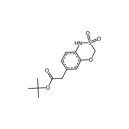 CC(C)(C)OC(=O)Cc1ccc2c(c1)OCS(=O)(=O)N2